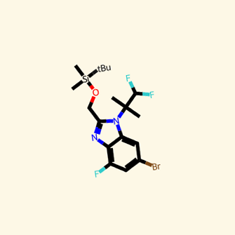 CC(C)(C(F)F)n1c(CO[Si](C)(C)C(C)(C)C)nc2c(F)cc(Br)cc21